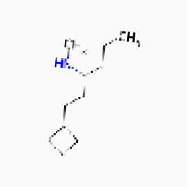 CCCC(CCC1CCC1)NC